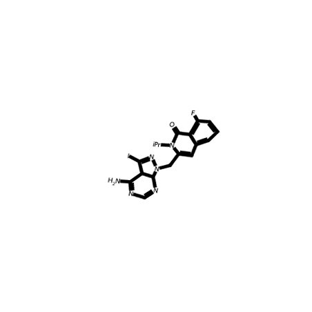 CC(C)n1c(CN2N=C(I)C3C(N)=NC=NC32)cc2cccc(F)c2c1=O